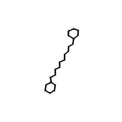 C(CCCCCC1CCCCC1)CCCCC1CCCCC1